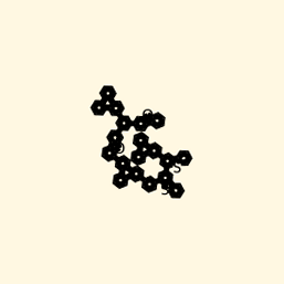 c1cc(-c2ccc3c4ccc(-c5cccc6c5oc5cc(-c7cc(-c8ccc9c(c8)oc8ccccc89)cc(-c8ccc9c%10ccccc%10c%10ccccc%10c9c8)c7)ccc56)cc4c4ccccc4c3c2)cc(-c2cc(-c3cc(-c4ccc5c6ccccc6c6ccccc6c5c4)cc4c3sc3ccccc34)cc3c2sc2ccccc23)c1